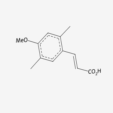 COc1cc(C)c(C=CC(=O)O)cc1C